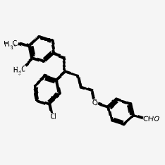 Cc1ccc(CC(CCCOc2ccc(C=O)cc2)c2cccc(Cl)c2)cc1C